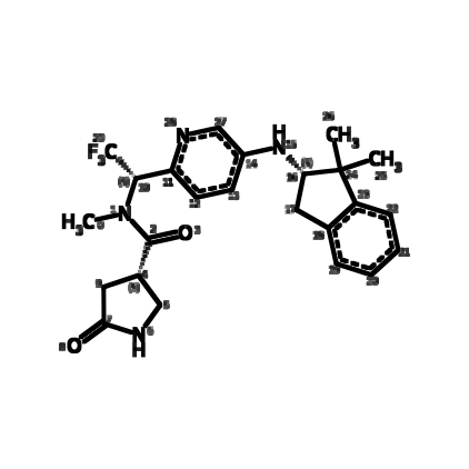 CN(C(=O)[C@@H]1CNC(=O)C1)[C@@H](c1ccc(N[C@H]2Cc3ccccc3C2(C)C)cn1)C(F)(F)F